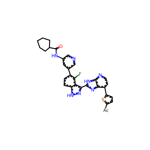 CC(=O)c1ccc(-c2ccnc3[nH]c(-c4n[nH]c5ccc(-c6cncc(NC(=O)C7CCCCC7)c6)c(F)c45)nc23)s1